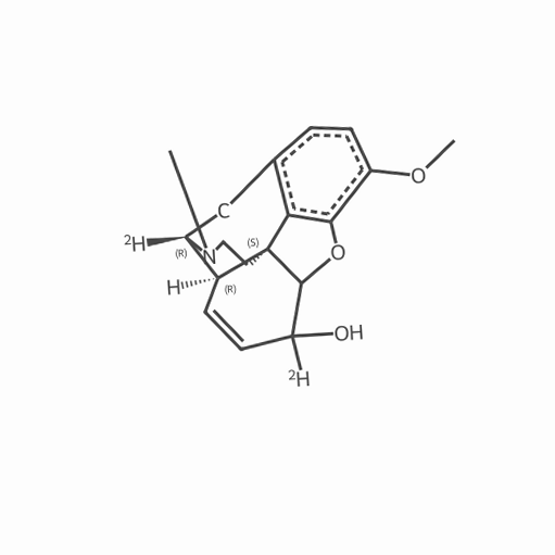 [2H]C1(O)C=C[C@@H]2[C@@]34CCN(C)[C@]2([2H])Cc2ccc(OC)c(c23)OC14